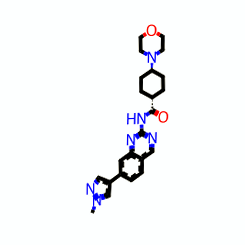 Cn1cc(-c2ccc3cnc(NC(=O)[C@H]4CC[C@H](N5CCOCC5)CC4)nc3c2)cn1